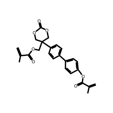 C=C(C)C(=O)OCC1(c2ccc(-c3ccc(OC(=O)C(=C)C)cc3)cc2)COC(=O)OC1